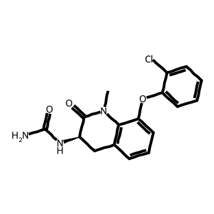 CN1C(=O)[C@H](NC(N)=O)Cc2cccc(Oc3ccccc3Cl)c21